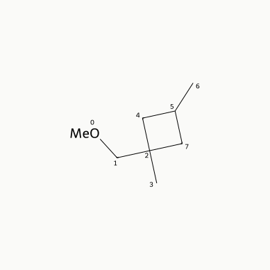 COCC1(C)CC(C)C1